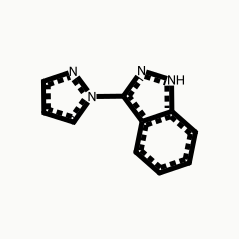 c1ccc2c(-n3cccn3)n[nH]c2c1